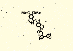 COc1cc2ncnc(Nc3ccc4c(c3)CCN4C(=O)Cc3c(-c4cnoc4)cnn3C)c2cc1OC